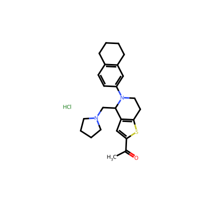 CC(=O)c1cc2c(s1)CCN(c1ccc3c(c1)CCCC3)C2CN1CCCC1.Cl